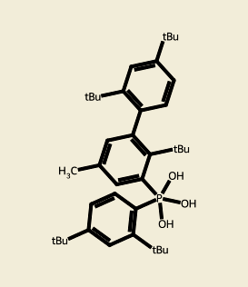 Cc1cc(-c2ccc(C(C)(C)C)cc2C(C)(C)C)c(C(C)(C)C)c(P(O)(O)(O)c2ccc(C(C)(C)C)cc2C(C)(C)C)c1